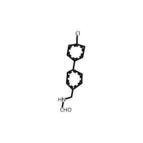 O=CNCc1ccc(-c2ccc(Cl)cc2)cc1